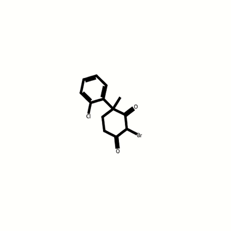 CC1(c2ccccc2Cl)CCC(=O)C(Br)C1=O